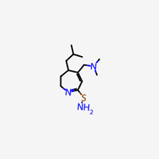 CC(C)CC1CCN=C(SN)C=C1CN(C)C